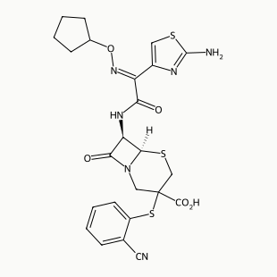 N#Cc1ccccc1SC1(C(=O)O)CS[C@@H]2[C@H](NC(=O)C(=NOC3CCCC3)c3csc(N)n3)C(=O)N2C1